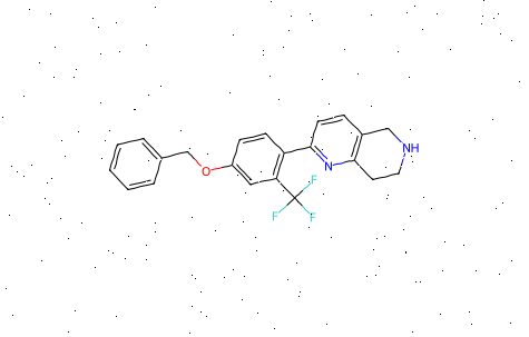 FC(F)(F)c1cc(OCc2ccccc2)ccc1-c1ccc2c(n1)CCNC2